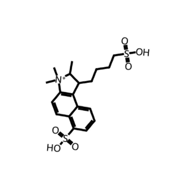 CC1C(CCCCS(=O)(=O)O)c2c(ccc3c(S(=O)(=O)O)cccc23)[N+]1(C)C